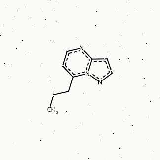 CCCc1ccnc2ccnn12